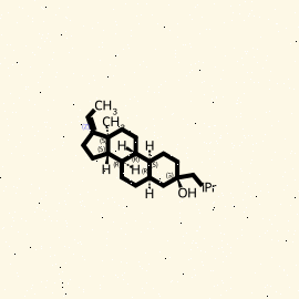 C/C=C1/CC[C@H]2[C@@H]3CC[C@@H]4C[C@@](O)(CC(C)C)CC[C@@H]4[C@H]3CC[C@]12C